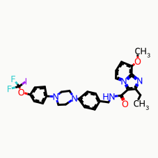 CCc1nc2c(OC)cccn2c1C(=O)NCc1ccc(N2CCN(c3ccc(OC(F)(F)I)cc3)CC2)cc1